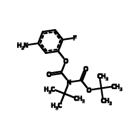 CC(C)(C)OC(=O)N(C(=O)Oc1cc(N)ccc1F)C(C)(C)C